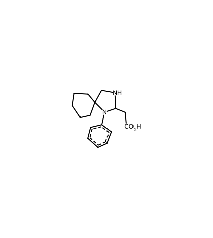 O=C(O)CC1NCC2(CCCCC2)N1c1ccccc1